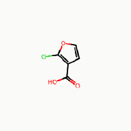 O=C(O)c1ccoc1Cl